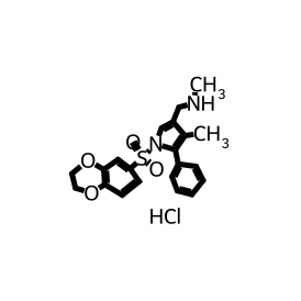 CNCc1cn(S(=O)(=O)c2ccc3c(c2)OCCO3)c(-c2ccccc2)c1C.Cl